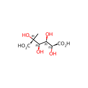 C[C@](O)(C(=O)O)[C@H](O)[C@@H](O)[C@H](O)C(=O)O